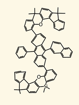 CC1(C)c2cccc(-c3ccc4c(-c5ccc6ccccc6c5)c5cc(-c6cccc7c6Oc6c(ccc8c6-c6ccccc6C8(C)C)[Si]7(C)C)ccc5c(-c5ccccc5)c4c3)c2Oc2c1ccc1c2-c2ccccc2C1(C)C